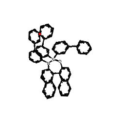 c1ccc(-c2cccc(N3c4ccc5ccccc5c4-c4c(ccc5ccccc45)O[Si]3(c3cccc(-c4ccccc4)c3)c3cccc(-c4ccccc4)c3)c2)cc1